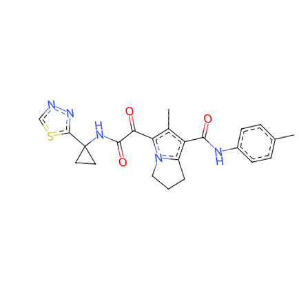 Cc1ccc(NC(=O)c2c(C)c(C(=O)C(=O)NC3(c4nncs4)CC3)n3c2CCC3)cc1